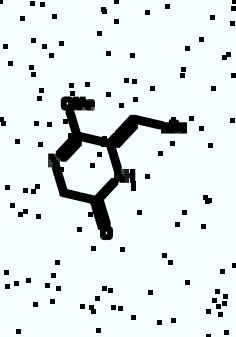 CCCCC=C1NC(=O)CN=C1OC